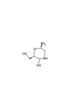 B[C@H]1CNC(O)[C@@H](CO)O1